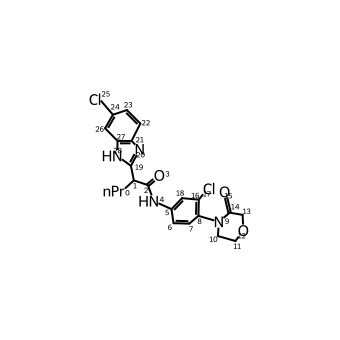 CCCC(C(=O)Nc1ccc(N2CCOCC2=O)c(Cl)c1)c1nc2ccc(Cl)cc2[nH]1